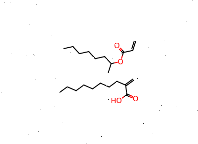 C=C(CCCCCCCC)C(=O)O.C=CC(=O)OC(C)CCCCCC